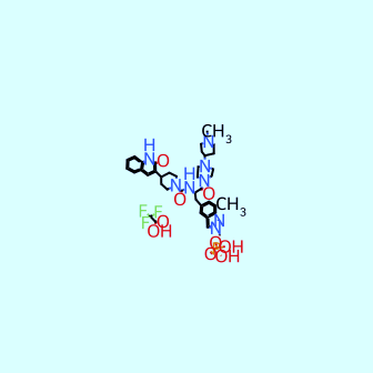 Cc1cc(CC(NC(=O)N2CCC(c3cc4ccccc4[nH]c3=O)CC2)C(=O)N2CCN(C3CCN(C)CC3)CC2)cc2cn(COP(=O)(O)O)nc12.O=C(O)C(F)(F)F